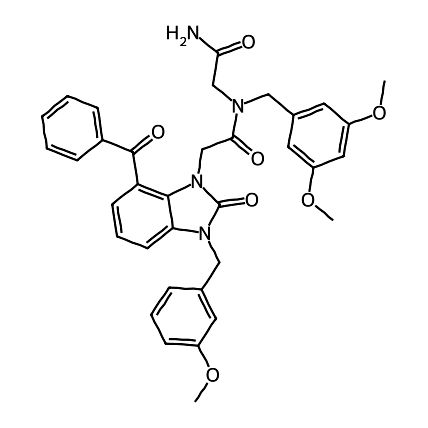 COc1cccc(Cn2c(=O)n(CC(=O)N(CC(N)=O)Cc3cc(OC)cc(OC)c3)c3c(C(=O)c4ccccc4)cccc32)c1